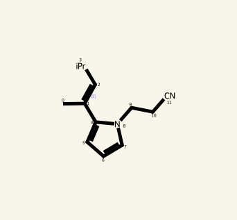 C/C(=C\C(C)C)c1cccn1CCC#N